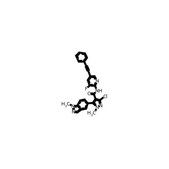 Cn1nc(Cl)c(C(=O)Nc2ncc(C#Cc3ccccc3)cc2F)c1-c1ccc2c(cnn2C)c1